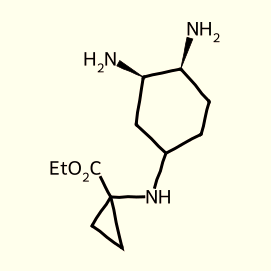 CCOC(=O)C1(NC2CC[C@H](N)[C@H](N)C2)CC1